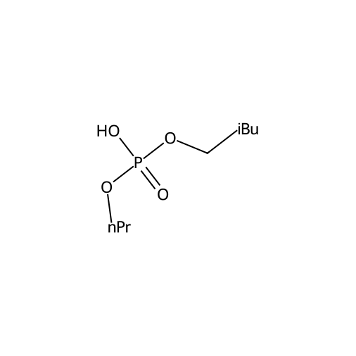 CCCOP(=O)(O)OCC(C)CC